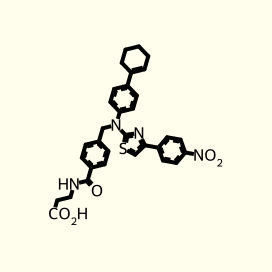 O=C(O)CCNC(=O)c1ccc(CN(c2ccc(C3=CCCCC3)cc2)c2nc(-c3ccc([N+](=O)[O-])cc3)cs2)cc1